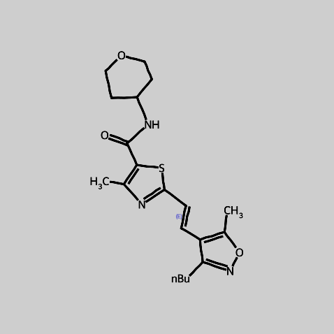 CCCCc1noc(C)c1/C=C/c1nc(C)c(C(=O)NC2CCOCC2)s1